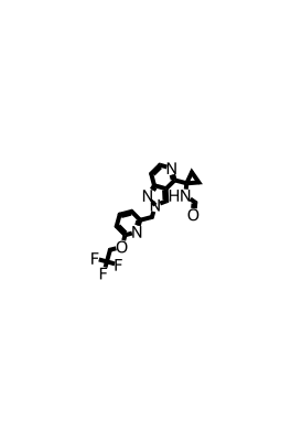 O=CNC1(c2nccc3nn(Cc4cccc(OCC(F)(F)F)n4)cc23)CC1